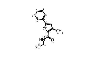 Cc1cc(-c2cccnc2)oc1C(=O)NCC#N